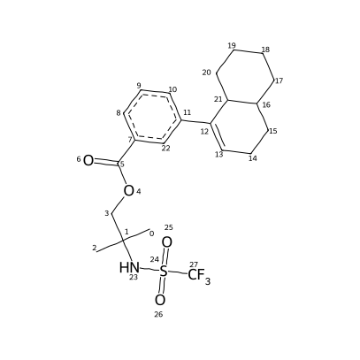 CC(C)(COC(=O)c1cccc(C2=CCCC3CCCCC23)c1)NS(=O)(=O)C(F)(F)F